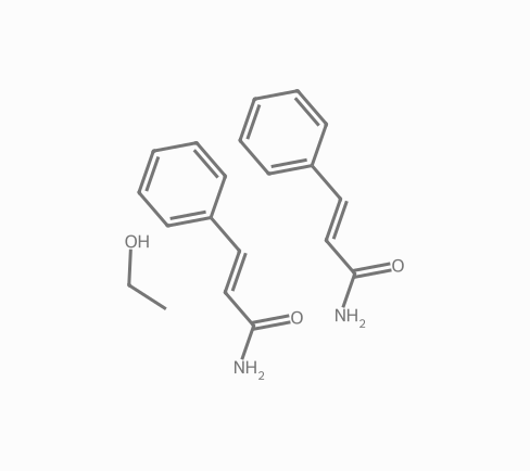 CCO.NC(=O)C=Cc1ccccc1.NC(=O)C=Cc1ccccc1